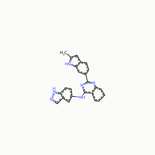 Cc1cc2ccc(-c3nc(Nc4ccc5[nH]ncc5c4)c4ccccc4n3)cc2[nH]1